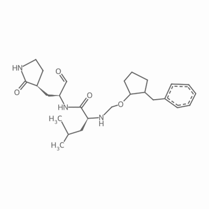 CC(C)C[C@H](NCOC1CCCC1Cc1ccccc1)C(=O)N[C@H](C=O)C[C@@H]1CCNC1=O